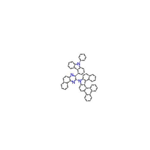 c1ccc(-n2c3ccccc3c3c(-c4nc5ccc6ccccc6c5nc4-n4c5ccc6ccccc6c5c5c6c7ccccc7c7ccccc7c6ccc54)cccc32)cc1